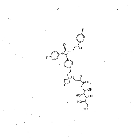 CN(CC(O)C(O)C(O)C(O)CO)C(=O)COC1(CCc2ccc([C@@H]3[C@@H](CC[C@H](O)c4ccc(F)cc4)C(=O)N3c3ccc(F)cc3)cc2)COC1